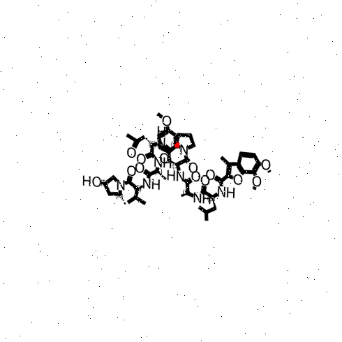 COc1ccc(C[C@H](NC(=O)[C@H](C)NC(=O)[C@H](CC(C)C)NC(=O)c2oc3c(OC)c(OC)ccc3c2C)C(=O)N2CCC[C@H]2C(=O)N[C@@H](CC(C)=O)C(=O)N[C@@H](C)C(=O)N[C@H](C(=O)N2C[C@H](O)C[C@H]2C)C(C)C)cc1